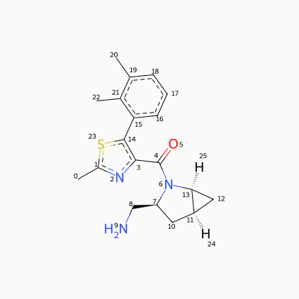 Cc1nc(C(=O)N2[C@H](CN)C[C@@H]3C[C@@H]32)c(-c2cccc(C)c2C)s1